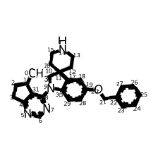 CC1CCc2ncnc(N3CC4(CCNCC4)c4cc(OCc5ccccc5)ccc43)c21